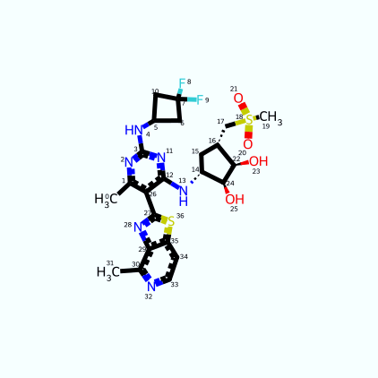 Cc1nc(NC2CC(F)(F)C2)nc(N[C@@H]2C[C@H](CS(C)(=O)=O)[C@@H](O)[C@H]2O)c1-c1nc2c(C)nccc2s1